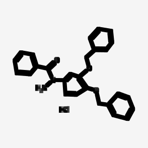 Cl.NN(C(=O)c1ccccc1)c1ccc(OCc2ccccc2)c(OCc2ccccc2)c1